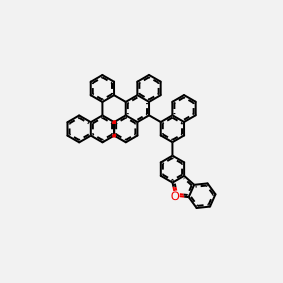 c1ccc(-c2c3ccccc3c(-c3cc(-c4ccc5oc6ccccc6c5c4)cc4ccccc34)c3ccccc23)c(-c2cccc3ccccc23)c1